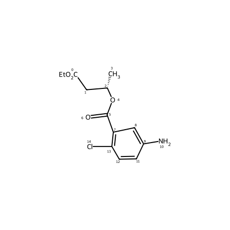 CCOC(=O)C[C@H](C)OC(=O)c1cc(N)ccc1Cl